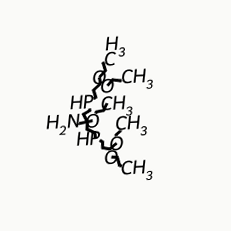 CCCOC(CCPCCC(CN)(CCPCCC(OCCC)OCCC)OCCC)OCCC